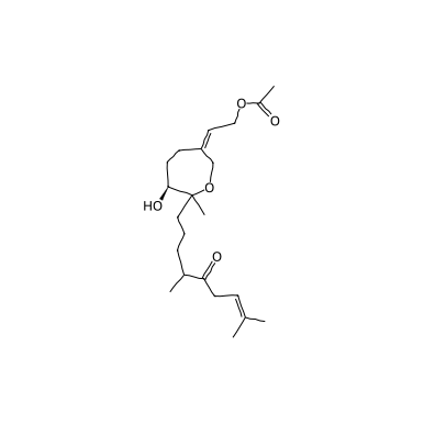 CC(=O)OCC=C1CC[C@H](O)C(C)(CCCC(C)C(=O)CC=C(C)C)OC1